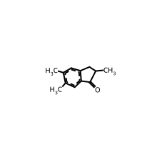 Cc1cc2c(cc1C)C(=O)C(C)C2